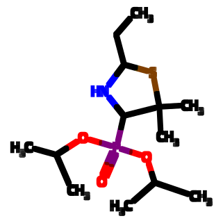 CCC1NC(P(=O)(OC(C)C)OC(C)C)C(C)(C)S1